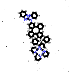 C1=CB2N(C=C1)B1C=CC=CN1B1C=CC([Si](c3ccccc3)(c3ccccc3)c3ccc4c(c3)-c3ccccc3-c3ccc(N5C6=NC7C=CC=CC7N6c6ccccc65)cc3-c3ccccc3-4)=CN1B1C=CC=CN21